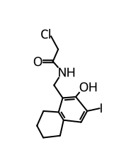 O=C(CCl)NCc1c(O)c(I)cc2c1CCCC2